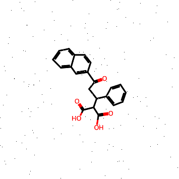 O=C(CC(c1ccccc1)C(C(=O)O)C(=O)O)c1ccc2ccccc2c1